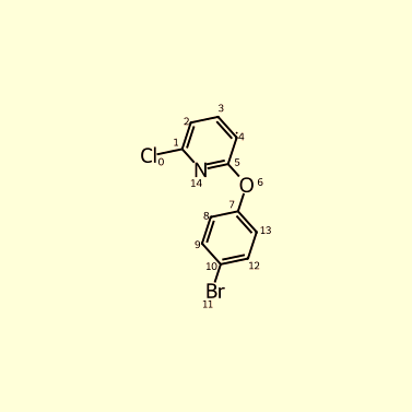 Clc1cc[c]c(Oc2ccc(Br)cc2)n1